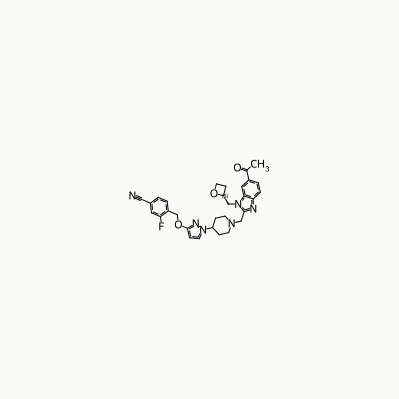 CC(=O)c1ccc2nc(CN3CCC(n4ccc(OCc5ccc(C#N)cc5F)n4)CC3)n(C[C@@H]3CCO3)c2c1